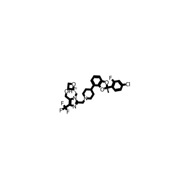 C[C@]1(c2ccc(Cl)cc2F)Oc2cccc(C3CCN(Cc4nc(C(F)(F)F)c(CO)n4C[C@@H]4CCO4)CC3)c2O1